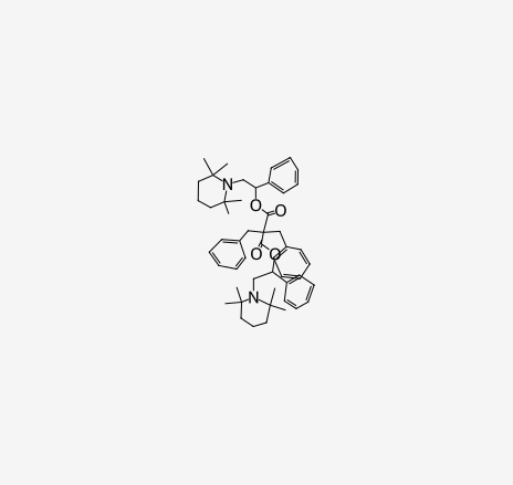 CC1(C)CCCC(C)(C)N1CC(OC(=O)C(Cc1ccccc1)(Cc1ccccc1)C(=O)OC(CN1C(C)(C)CCCC1(C)C)c1ccccc1)c1ccccc1